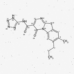 CCCc1cc2c(cc1C)sc1ncc(C(=O)Nc3nnn[nH]3)c(=O)n12